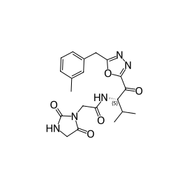 Cc1cccc(Cc2nnc(C(=O)[C@@H](NC(=O)CN3C(=O)CNC3=O)C(C)C)o2)c1